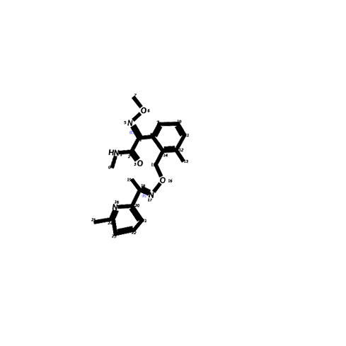 CNC(=O)/C(=N/OC)c1cccc(C)c1CO/N=C(\C)c1cccc(C)n1